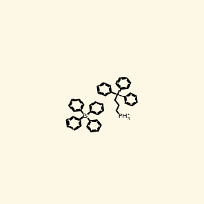 [PH3+]CCCC(c1ccccc1)(c1ccccc1)c1ccccc1.c1ccc([B-](c2ccccc2)(c2ccccc2)c2ccccc2)cc1